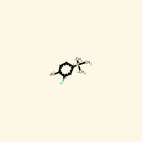 CC(C)c1ccc([Si](C)(C)C)cc1F